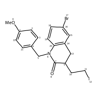 COc1ccc(CN2C(=O)C(CCI)Cc3cc(Br)ccc32)cc1